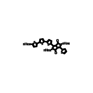 CCCCCCc1ccc(-c2ccc(-c3ccc(C4=C5C(=O)N(CCCCCC)C(c6cccs6)=C5C(=O)N4CCCCCC)s3)s2)s1